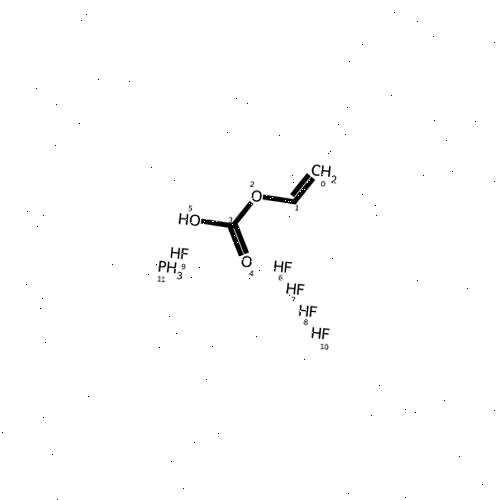 C=COC(=O)O.F.F.F.F.F.P